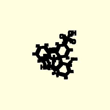 O=C1NCCN1C1(c2ccccc2F)C=CC(S(=O)(=O)O)C=C1c1ccccc1F